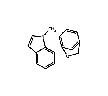 Cn1ccc2ccccc21.c1cc2cc(c1)OC2